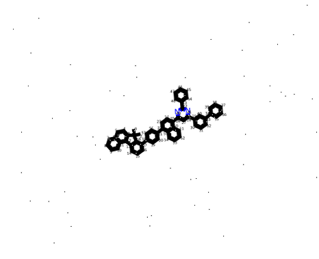 CC1(C)c2ccc3ccccc3c2-c2cccc(-c3ccc(-c4ccc(-c5cc(-c6cccc(-c7ccccc7)c6)nc(-c6ccccc6)n5)c5ccccc45)cc3)c21